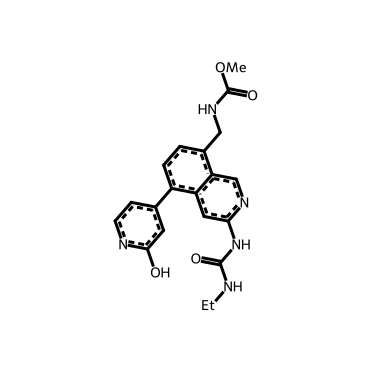 CCNC(=O)Nc1cc2c(-c3ccnc(O)c3)ccc(CNC(=O)OC)c2cn1